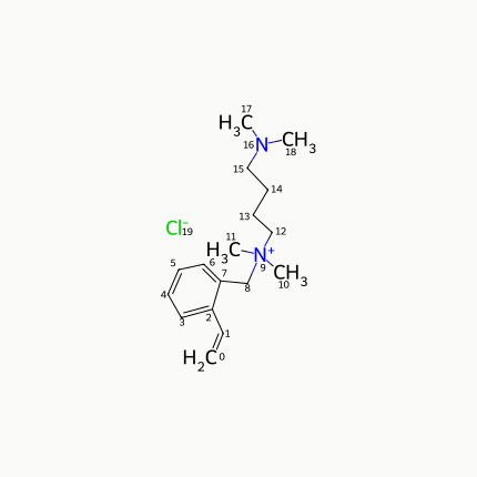 C=Cc1ccccc1C[N+](C)(C)CCCCN(C)C.[Cl-]